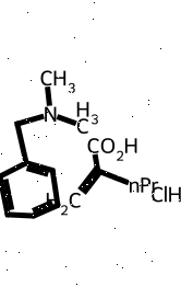 C=C(CCC)C(=O)O.CN(C)Cc1ccccc1.Cl